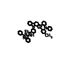 CCC(NC(/N=C(\N)c1ccccc1)c1ccccc1)C1C=CC=C(n2c3c(c4ccccc42)CCC2=C3CC3C4=C(CC(C)C=C4)N(c4ccccc4)C4=C(CCC=C4)N23)C1